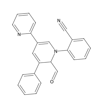 N#Cc1ccccc1N1C=C(c2ccccn2)C=C(c2ccccc2)C1C=O